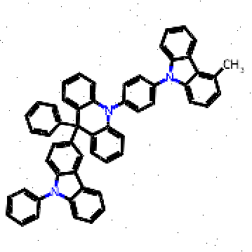 Cc1cccc2c1c1ccccc1n2-c1ccc(N2c3ccccc3C(c3ccccc3)(c3ccc4c(c3)c3ccccc3n4-c3ccccc3)c3ccccc32)cc1